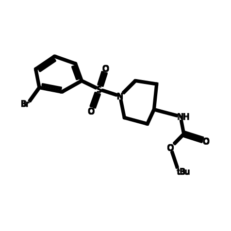 CC(C)(C)OC(=O)NC1CCN(S(=O)(=O)c2cccc(Br)c2)CC1